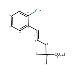 CCOC(=O)C(C)(C)C/C=C/c1ccccc1Cl